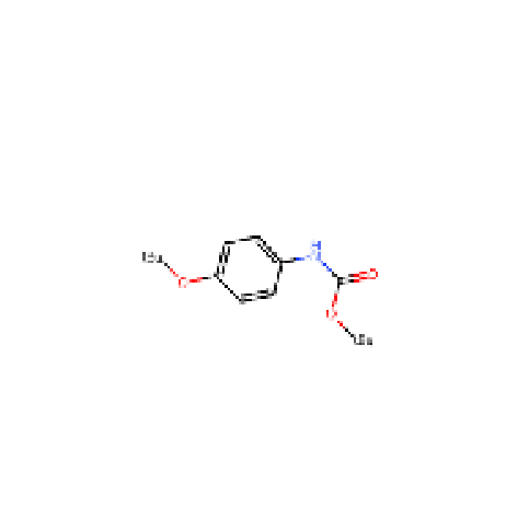 CC(C)(C)OC(=O)Nc1ccc(OC(C)(C)C)cc1